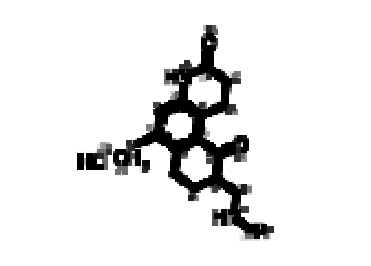 Cc1cc2c(c3c1CCC(CNC(C)C)C3=O)CCC(=O)N2.Cl.O